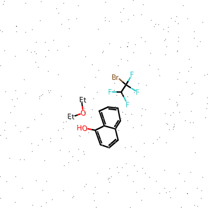 CCOCC.FC(F)C(F)(F)Br.Oc1cccc2ccccc12